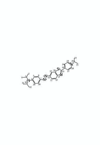 CC(C)N(c1ccc(/N=N/c2ccc3nc(-c4cc[n+](C(C)C)cc4)sc3c2)cc1)C(C)C